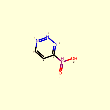 O=[PH](O)c1ccnnn1